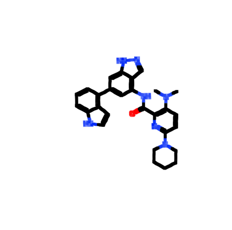 CN(C)c1ccc(N2CCCCC2)nc1C(=O)Nc1cc(-c2cccc3[nH]ccc23)cc2[nH]ncc12